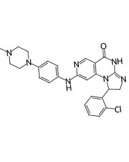 CN1CCN(c2ccc(Nc3cc4c(cn3)C(=O)NC3=NCC(c5ccccc5Cl)N34)cc2)CC1